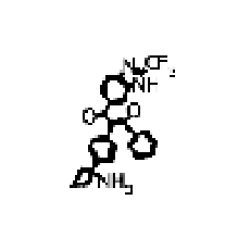 NC1(c2ccc(-c3c(-c4ccccc4)oc4c(ccc5nc(C(F)(F)F)[nH]c54)c3=O)cc2)CCC1